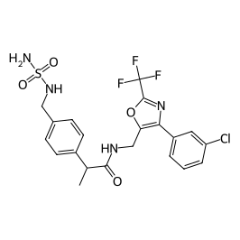 CC(C(=O)NCc1oc(C(F)(F)F)nc1-c1cccc(Cl)c1)c1ccc(CNS(N)(=O)=O)cc1